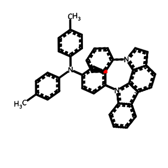 Cc1ccc(N(c2ccc(C)cc2)c2ccc(-n3c4ccccc4c4ccc5ccn(-c6ccccc6)c5c43)cc2)cc1